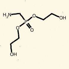 NCP(=O)(OCCO)OCCO